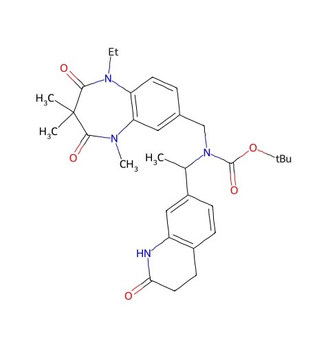 CCN1C(=O)C(C)(C)C(=O)N(C)c2cc(CN(C(=O)OC(C)(C)C)C(C)c3ccc4c(c3)NC(=O)CC4)ccc21